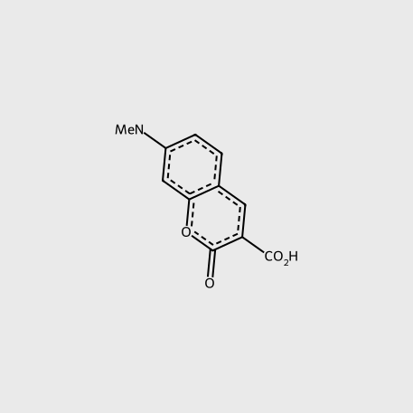 CNc1ccc2cc(C(=O)O)c(=O)oc2c1